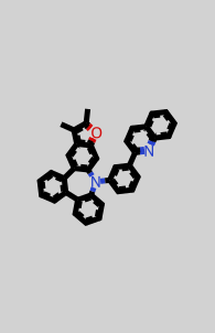 Cc1oc2cc3c(cc2c1C)-c1ccccc1-c1ccccc1N3c1cccc(-c2ccc3ccccc3n2)c1